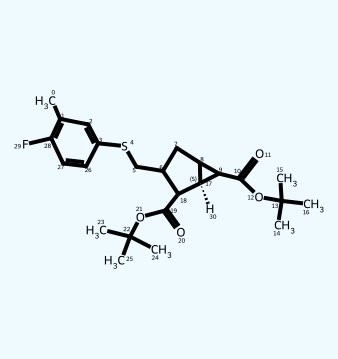 Cc1cc(SCC2CC3C(C(=O)OC(C)(C)C)[C@H]3C2C(=O)OC(C)(C)C)ccc1F